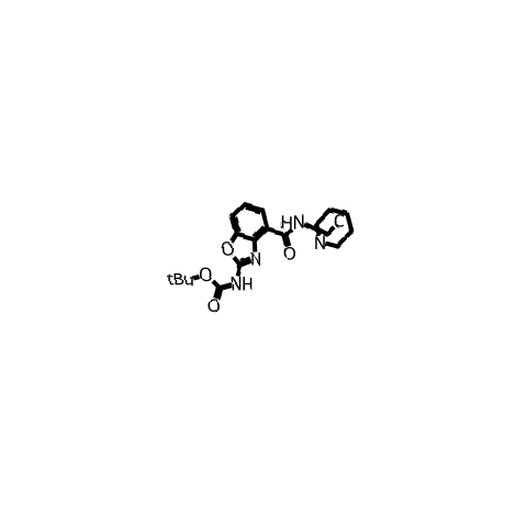 CC(C)(C)OC(=O)Nc1nc2c(C(=O)NC3CC4CCN3CC4)cccc2o1